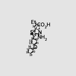 CCC(=Cc1cnc(N)c2c(-c3ccc(Oc4ccccc4)cc3)csc12)C(=O)O